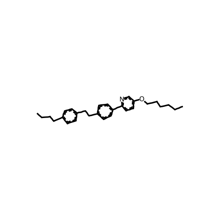 CCCCCCOc1ccc(-c2ccc(CCc3ccc(CCCC)cc3)cc2)nc1